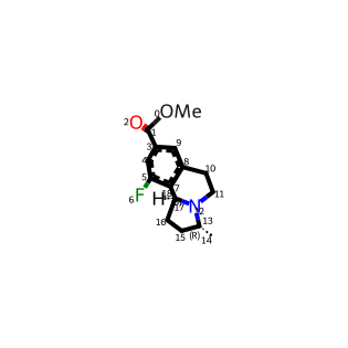 COC(=O)c1cc(F)c2c(c1)CCN1[C@H](C)CC[C@@H]21